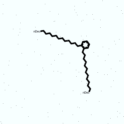 CCCCCCCCCCCCCCCCCCCCCCc1[c]cccc1CCCCCCCCCCCCCCCCCCCCCC